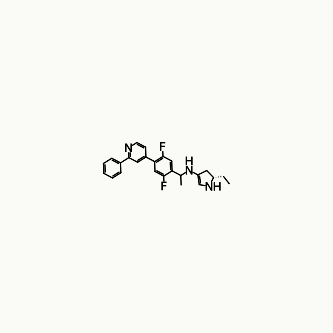 CC[C@H]1CC(NC(C)c2cc(F)c(-c3ccnc(-c4ccccc4)c3)cc2F)=CN1